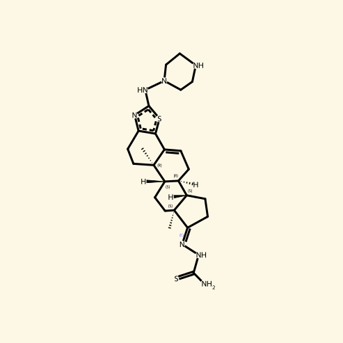 C[C@]12CCc3nc(NN4CCNCC4)sc3C1=CC[C@@H]1[C@@H]2CC[C@]2(C)/C(=N/NC(N)=S)CC[C@@H]12